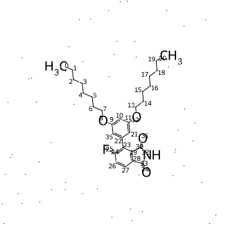 CCCCCCCCOc1cc(OCCCCCCCC)cc(-c2c(F)ccc3c2C(=O)NC3=O)c1